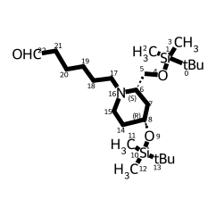 CC(C)(C)[Si](C)(C)OC[C@@H]1C[C@H](O[Si](C)(C)C(C)(C)C)CCN1CCCCCC=O